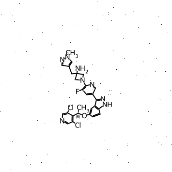 C[C@@H](Oc1ccc2[nH]nc(-c3cnc(N4CC(N)(Cc5cnn(C)c5)C4)c(F)c3)c2c1)c1c(Cl)cncc1Cl